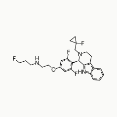 FCCCNCCOc1cc(F)c([C@@H]2c3[nH]c4ccccc4c3CCN2CC2(F)CC2)c(F)c1